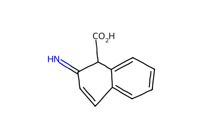 N=C1C=Cc2ccccc2C1C(=O)O